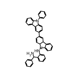 NC(c1ccccc1)c1ccccc1NN1c2ccccc2C2C=C(c3ccc4c(c3)c3ccccc3n4-c3ccccc3)C=CC21